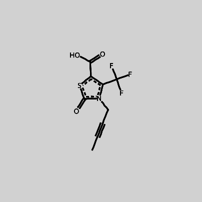 CC#CCn1c(C(F)(F)F)c(C(=O)O)sc1=O